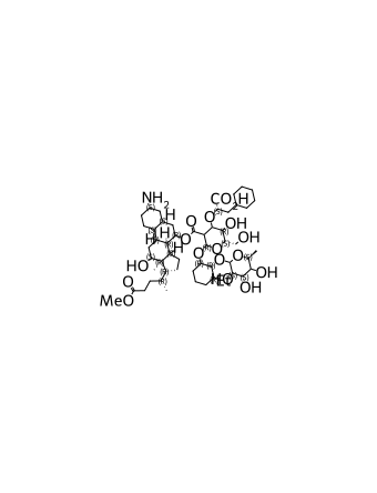 CC[C@@H]1CCC[C@@H](O[C@@H]2O[C@@H](CO)[C@H](O)C(O[C@@H](CC3CCCCC3)C(=O)O)C2C(=O)O[C@@H]2C[C@@H]3C[C@@H](N)CC[C@]3(C)[C@H]3C[C@H](O)[C@]4(C)[C@@H]([C@H](C)CCC(=O)OC)CC[C@H]4[C@H]23)[C@@H]1OC1O[C@@H](C)C(O)[C@H](O)[C@@H]1O